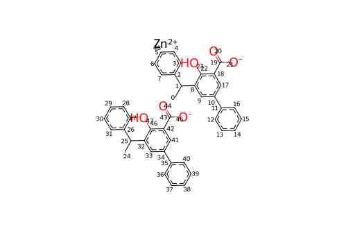 CC(c1ccccc1)c1cc(-c2ccccc2)cc(C(=O)[O-])c1O.CC(c1ccccc1)c1cc(-c2ccccc2)cc(C(=O)[O-])c1O.[Zn+2]